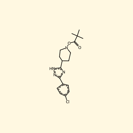 CC(C)(C)C(=O)ON1CCC(c2nc(-c3ccc(Cl)cc3)n[nH]2)CC1